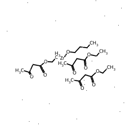 CCCC[O][Zr].CCOC(=O)CC(C)=O.CCOC(=O)CC(C)=O.CCOC(=O)CC(C)=O